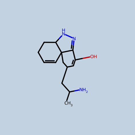 CC(N)CC1C=C(O)C2=NNC3CCC=CC23C1